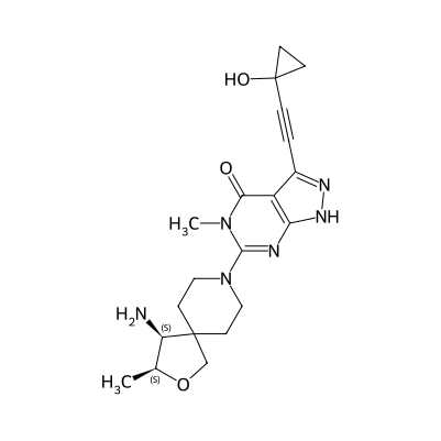 C[C@@H]1OCC2(CCN(c3nc4[nH]nc(C#CC5(O)CC5)c4c(=O)n3C)CC2)[C@@H]1N